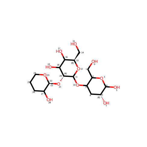 OCC1OC(O)[C@H](O)CC1OC1O[C@H](CO)C(O)C(O)[C@H]1O[C@@H]1OCCCC1O